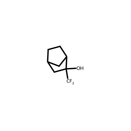 OC1(C(F)(F)F)CC2CCC1C2